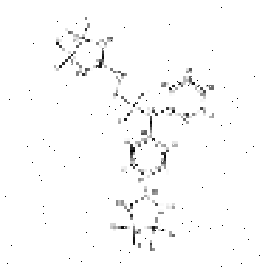 CC(C)(COB1OC(C)(C)C(C)(C)O1)C(c1cncnc1)c1ccc(B2OC(C)(C)C(C)(C)O2)cn1